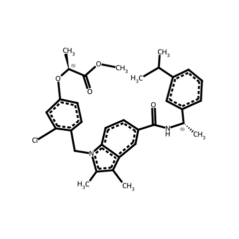 COC(=O)[C@H](C)Oc1ccc(Cn2c(C)c(C)c3cc(C(=O)N[C@@H](C)c4cccc(C(C)C)c4)ccc32)c(Cl)c1